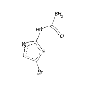 BC(=O)Nc1ncc(Br)s1